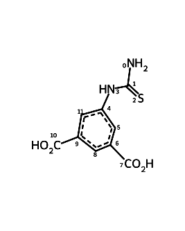 NC(=S)Nc1cc(C(=O)O)cc(C(=O)O)c1